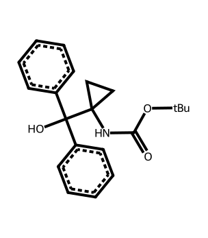 CC(C)(C)OC(=O)NC1(C(O)(c2ccccc2)c2ccccc2)CC1